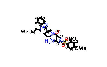 COCCCn1c([C@@H]2CCCN(C(=O)[C@@H]3CN(S(=O)(=O)c4ccc(OC)cc4[N+](=O)[O-])C[C@H]3N)C2)nc2ccccc21